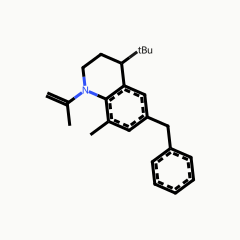 C=C(C)N1CCC(C(C)(C)C)c2cc(Cc3ccccc3)cc(C)c21